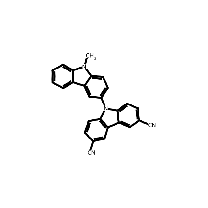 Cn1c2ccccc2c2cc(-n3c4ccc(C#N)cc4c4cc(C#N)ccc43)ccc21